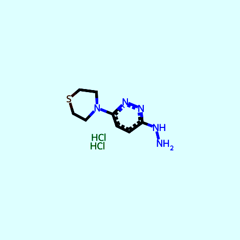 Cl.Cl.NNc1ccc(N2CCSCC2)nn1